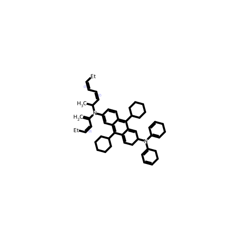 C=C(/C=C\CC)N(c1ccc2c(C3CCCCC3)c3c(c(C4CCCCC4)c2c1)=CCC(N(C1=CCCC=C1)C1=CC=CCC1)C=3)C(C)/C=C\C=C/CC